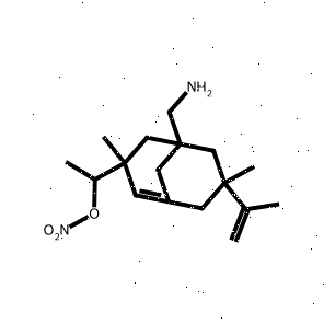 C=C(C)C1(C)CC2=CC(C)(C(C)O[N+](=O)[O-])CC(CN)(C2)C1